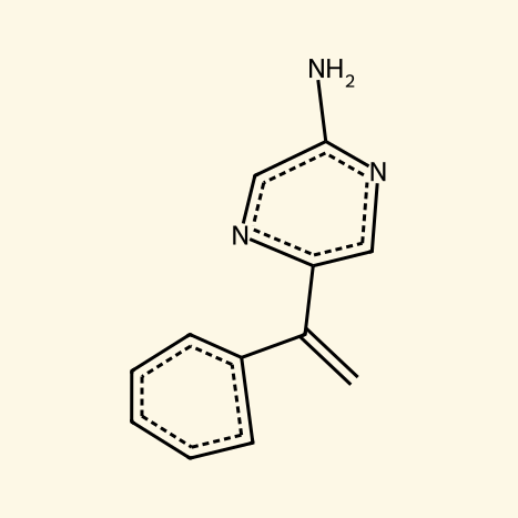 C=C(c1ccccc1)c1cnc(N)cn1